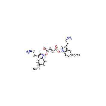 COc1ccc2c(c1)c(CCN)cn2OC(=O)/C=C/C(=O)On1cc(CCN)c2cc(OC)ccc21